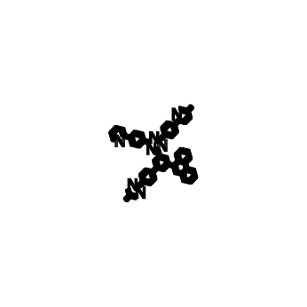 Cc1ccc(-c2ccc(-c3nc(-c4ccc(-c5ccccn5)cc4)nc(-c4cc(-c5ccc(-c6ncc(C)cn6)cc5)cc(-c5cc6ccccc6c6ccccc56)c4)n3)cc2)nc1